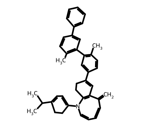 C=C1/C=C\C=C/N(C2=CC=C(C(C)C)CC2)C2=C1C=C(c1ccc(C)c(-c3cc(-c4ccccc4)ccc3C)c1)CC2